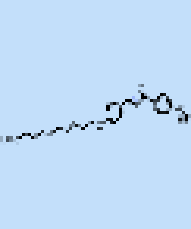 CCCCCCCCCCCCCCCCCCCOc1ccc(/C=C/C(=O)c2ccc(SCCC)cc2)cc1